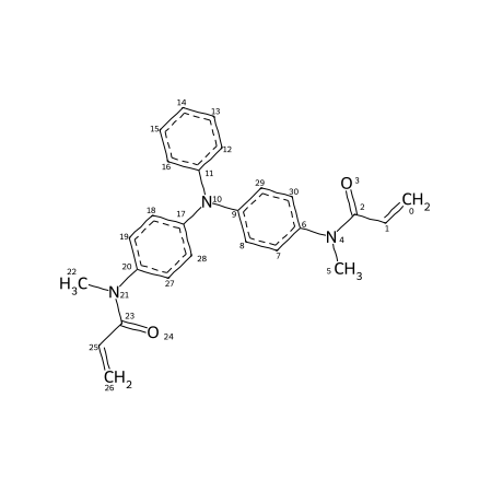 C=CC(=O)N(C)c1ccc(N(c2ccccc2)c2ccc(N(C)C(=O)C=C)cc2)cc1